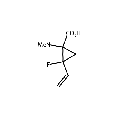 C=CC1(F)CC1(NC)C(=O)O